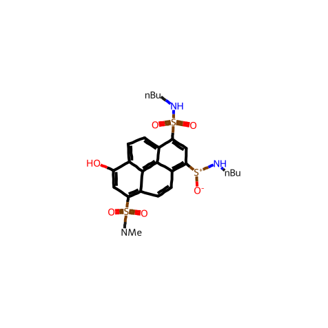 CCCCN[S+]([O-])c1cc(S(=O)(=O)NCCCC)c2ccc3c(O)cc(S(=O)(=O)NC)c4ccc1c2c34